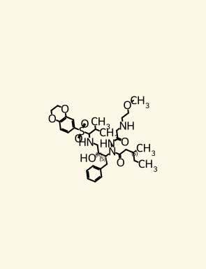 CC[C@H](C)CC(=O)N(NC(=O)CNCCOC)[C@@H](Cc1ccccc1)[C@H](O)CNC(C(C)C)S(=O)(=O)c1ccc2c(c1)OCCO2